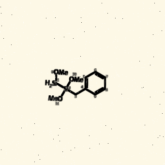 CO[SiH2][Si](Cc1ccccc1)(OC)OC